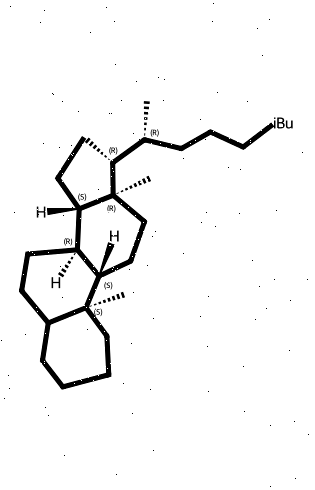 CCC(C)CCC[C@@H](C)[C@H]1CC[C@H]2[C@@H]3CCC4CCCC[C@]4(C)[C@H]3CC[C@]12C